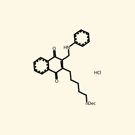 CCCCCCCCCCCCCCCC1=C(CNc2ccccc2)C(=O)c2ccccc2C1=O.Cl